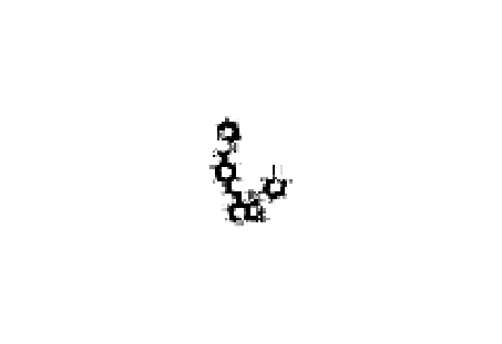 O=C(Nc1ccccn1)c1ccc(CCc2ccnc3[nH]nc(N[C@@H]4CCCNC4)c23)cc1